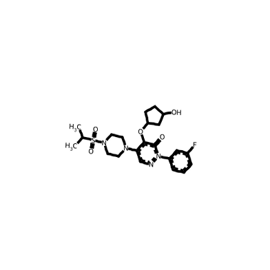 CC(C)S(=O)(=O)N1CCN(c2cnn(-c3cccc(F)c3)c(=O)c2OC2CCC(O)C2)CC1